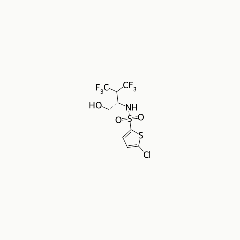 O=S(=O)(N[C@H](CO)C(C(F)(F)F)C(F)(F)F)c1ccc(Cl)s1